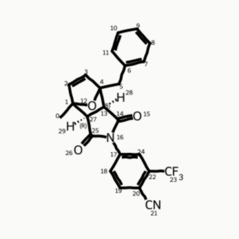 CC12C=CC(Cc3ccccc3)(O1)[C@H]1C(=O)N(c3ccc(C#N)c(C(F)(F)F)c3)C(=O)[C@H]12